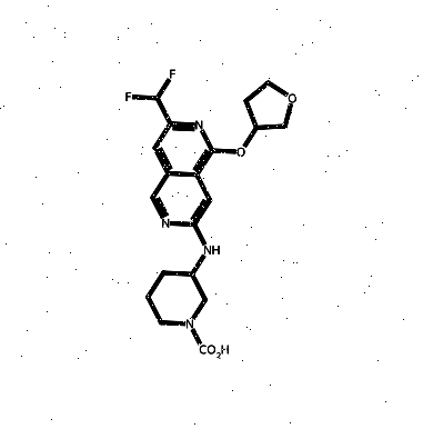 O=C(O)N1CCCC(Nc2cc3c(OC4CCOC4)nc(C(F)F)cc3cn2)C1